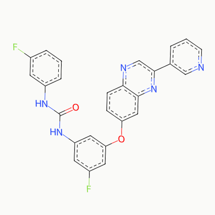 O=C(Nc1cccc(F)c1)Nc1cc(F)cc(Oc2ccc3ncc(-c4cccnc4)nc3c2)c1